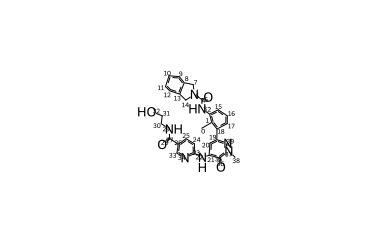 Cc1c(NC(=O)N2Cc3ccccc3C2)cccc1-c1cc(Nc2ccc(C(=O)NCCO)cn2)c(=O)n(C)n1